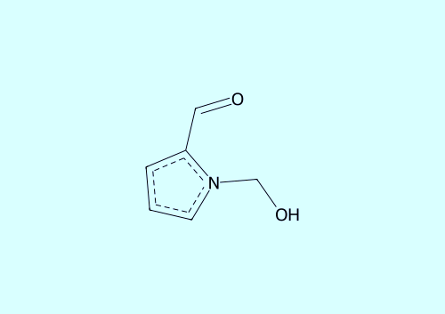 O=Cc1cccn1CO